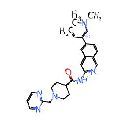 C=C/C(=C\N(C)C)c1ccc2cnc(NC(=O)C3CCN(Cc4ncccn4)CC3)cc2c1